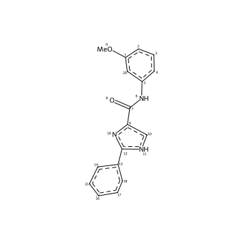 COc1cccc(NC(=O)c2c[nH]c(-c3cc[c]cc3)n2)c1